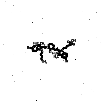 CCCCC[N+]1=C(/C=C/C2=C(Cl)C(=C/C=C3/N(CCCCS(=O)(=O)O)c4ccc(Br)cc4C3(C)C)/CCC2)C(C)(C)c2cc(Br)ccc21